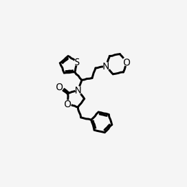 O=C1OC(Cc2ccccc2)CN1C(CCN1CCOCC1)c1cccs1